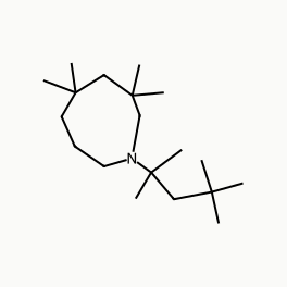 CC(C)(C)CC(C)(C)N1CCCC(C)(C)CC(C)(C)C1